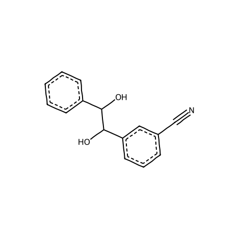 N#Cc1cccc(C(O)C(O)c2ccccc2)c1